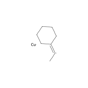 C[C]=C1CCCCC1.[Cu]